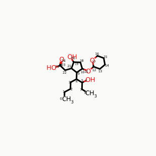 CCCCC(C(O)CC)C1C(OC2CCCCO2)CC(O)C1CC(=O)O